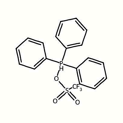 O=S(=O)(O[PH](c1ccccc1)(c1ccccc1)c1ccccc1)C(F)(F)F